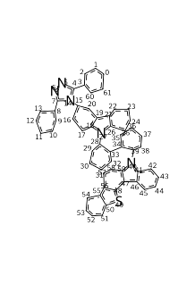 c1ccc(-c2nnc(-c3ccccc3)n2-c2ccc3c(c2)c2ccccc2n3-c2ccccc2-c2ccccc2-n2c3ccccc3c3c4sc5ccccc5c4ccc32)cc1